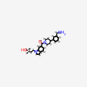 C[Si](C)(O)CCn1ccc2ccc(C(=O)N3CCC(c4cccc(CN)c4)CC3)cc21